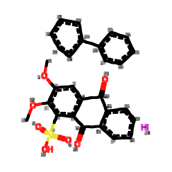 COc1cc2c(c(S(=O)(=O)O)c1OC)C(=O)c1ccccc1C2=O.I.c1ccc(-c2ccccc2)cc1